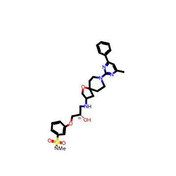 CNS(=O)(=O)c1cccc(OC[C@@H](O)CNC2COC3(CCN(c4nc(C)cc(-c5ccccc5)n4)CC3)C2)c1